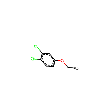 CC(=O)COc1ccc(Cl)c(Cl)c1